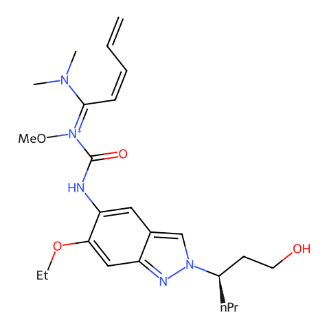 C=C/C=C\C(N(C)C)=[N+](\OC)C(=O)Nc1cc2cn([C@H](CCC)CCO)nc2cc1OCC